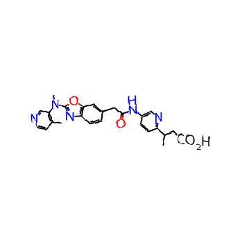 Cc1ccncc1N(C)c1nc2ccc(CC(=O)Nc3ccc(C(C)CC(=O)O)nc3)cc2o1